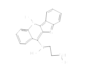 CNCCN(C)c1c2nc3ccccc3c-2n(C)c2ccccc12